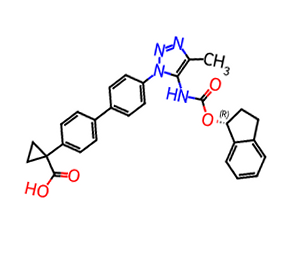 Cc1nnn(-c2ccc(-c3ccc(C4(C(=O)O)CC4)cc3)cc2)c1NC(=O)O[C@@H]1CCc2ccccc21